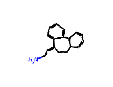 NCC=C1CCC2C=CC=CC2c2ccccc21